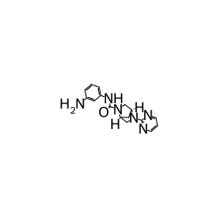 Nc1cccc(NC(=O)N2C[C@@H]3C[C@H]2CN3c2ncccn2)c1